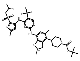 Cc1cc(Nc2ncc(C(F)(F)F)c(Nc3cn(C)nc3S(=O)(=O)CC(C)C)n2)c2c(c1C1CCN(C(=O)OC(C)(C)C)CC1)C[C@@H](C)O2